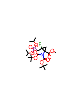 COC(=O)C1(N(C(=O)OC(C)(C)C)C(=O)OC(C)(C)C)C[C@@]1(F)CP(=O)(OC(C)C)OC(C)C